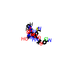 Cc1ncsc1-c1ccc([C@H](C)NC(=O)[C@H]2C[C@H](O)CN2C(=O)[C@@H](NC(=O)CN2[C@H]3CC[C@H]2CN(CCCCc2ccc(C(=O)N[C@H]4C(C)(C)[C@H](Oc5ccc(C#N)c(Cl)c5)C4(C)C)cc2)C3)C(C)(C)C)cc1